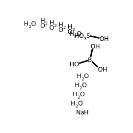 O.O.O.O.O.O.O.O.O.O.O=S(=O)(O)O.OB(O)O.[NaH]